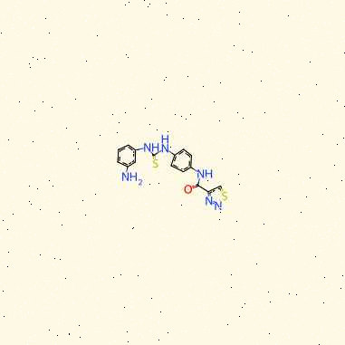 Nc1cccc(NC(=S)Nc2ccc(NC(=O)c3csnn3)cc2)c1